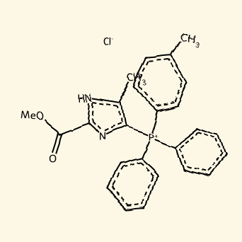 COC(=O)c1nc([P+](c2ccccc2)(c2ccccc2)c2ccc(C)cc2)c(C)[nH]1.[Cl-]